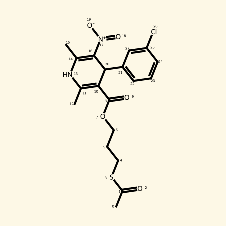 CC(=O)SCCCOC(=O)C1=C(C)NC(C)=C([N+](=O)[O-])C1c1cccc(Cl)c1